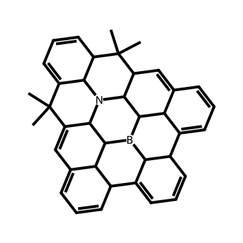 CC1(C)C2=CC3=CC=CC4C5=CC=CC6C7=CC=CC8=CC9C%10C(B(C56)C(C34)C2N%10C2C1=CC=CC2C9(C)C)C87